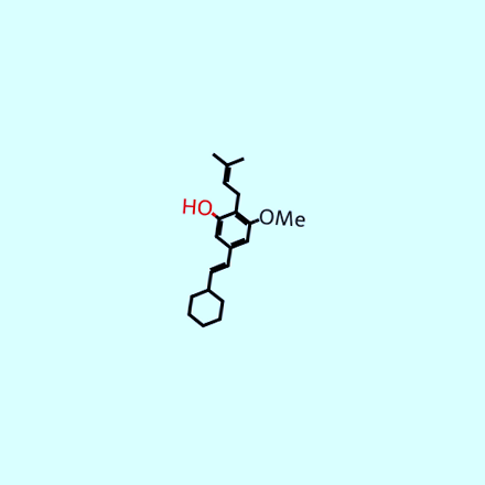 COc1cc(/C=C/C2CCCCC2)cc(O)c1CC=C(C)C